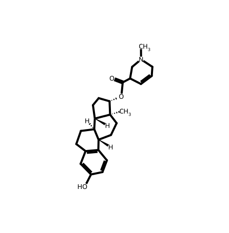 CN1CC=CC(C(=O)O[C@H]2CC[C@H]3[C@@H]4CCc5cc(O)ccc5[C@H]4CC[C@]23C)C1